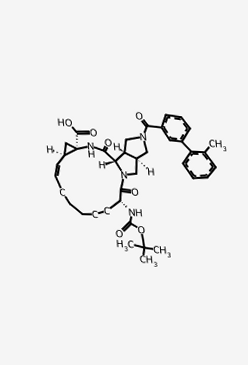 Cc1ccccc1-c1cccc(C(=O)N2C[C@H]3CN4C(=O)[C@H](NC(=O)OC(C)(C)C)CCCCC/C=C\[C@H]5C[C@@]5(C(=O)O)NC(=O)[C@@H]4[C@H]3C2)c1